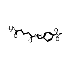 CS(=O)(=O)c1ccc(CNC(=O)CCCC(N)=O)cc1